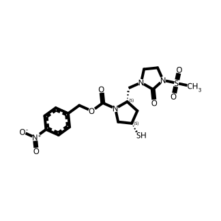 CS(=O)(=O)N1CCN(C[C@@H]2C[C@H](S)CN2C(=O)OCc2ccc([N+](=O)[O-])cc2)C1=O